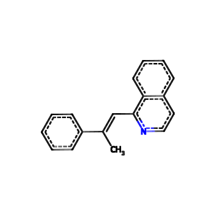 C/C(=C\c1nccc2ccccc12)c1ccccc1